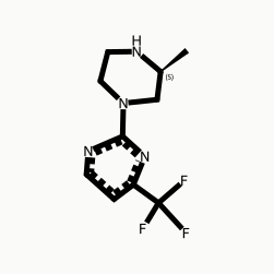 C[C@H]1CN(c2nccc(C(F)(F)F)n2)CCN1